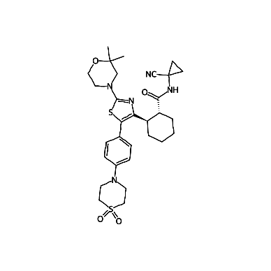 CC1(C)CN(c2nc([C@@H]3CCCC[C@H]3C(=O)NC3(C#N)CC3)c(-c3ccc(N4CCS(=O)(=O)CC4)cc3)s2)CCO1